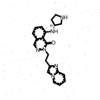 O=c1c2c(N[C@@H]3CCNC3)cccc2cnn1CCc1cn2ccccc2n1